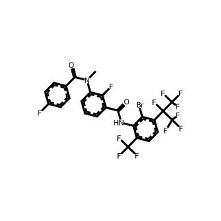 CN(C(=O)c1ccc(F)cc1)c1cccc(C(=O)Nc2c(C(F)(F)F)ccc(C(F)(C(F)(F)F)C(F)(F)F)c2Br)c1F